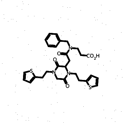 O=C(O)CCN(Cc1ccccc1)C(=O)CC1C(=O)N(CCc2cccs2)CC(=O)N1CCc1cccs1